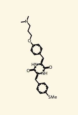 CSc1ccc(/C=c2\[nH]c(=O)/c(=C/c3ccc(OCCCN(C)C)cc3)[nH]c2=O)cc1